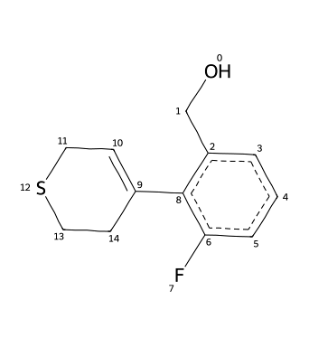 OCc1cccc(F)c1C1=CCSCC1